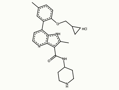 Cc1ccc(OCC2CC2)c(-c2ccnc3c(C(=O)NC4CCNCC4)c(C)[nH]c23)c1.Cl